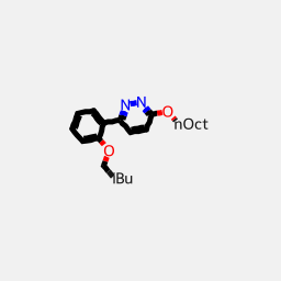 CCCCCCCCOc1ccc(-c2ccccc2OCC(C)CC)nn1